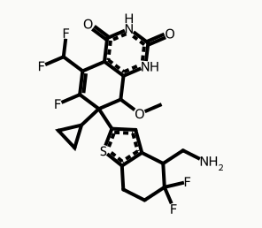 COC1c2[nH]c(=O)[nH]c(=O)c2C(C(F)F)=C(F)C1(c1cc2c(s1)CCC(F)(F)C2CN)C1CC1